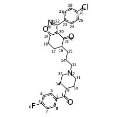 O=C(c1ccc(F)cc1)C1CCN(CCCC2CCc3onc(-c4ccc(Cl)cc4)c3C2=O)CC1